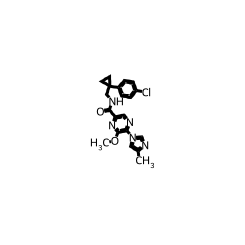 COc1nc(C(=O)NCC2(c3ccc(Cl)cc3)CC2)cnc1-n1cnc(C)c1